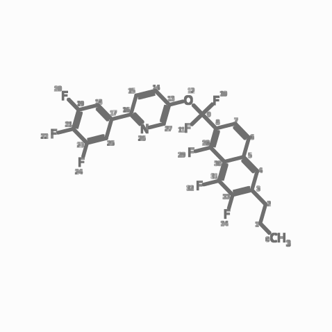 CCCc1cc2ccc(C(F)(F)Oc3ccc(-c4cc(F)c(F)c(F)c4)nc3)c(F)c2c(F)c1F